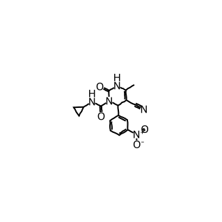 CC1=C(C#N)C(c2cccc([N+](=O)[O-])c2)N(C(=O)NC2CC2)C(=O)N1